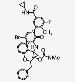 CNC(=O)OCC(Cc1ccccc1)Oc1ccccc1C1(Nc2nc(Br)cn(-c3cc(C(=O)NC4CC4)cc(F)c3C)c2=O)CC1